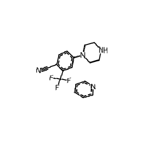 N#Cc1ccc(N2CCNCC2)cc1C(F)(F)F.c1ccncc1